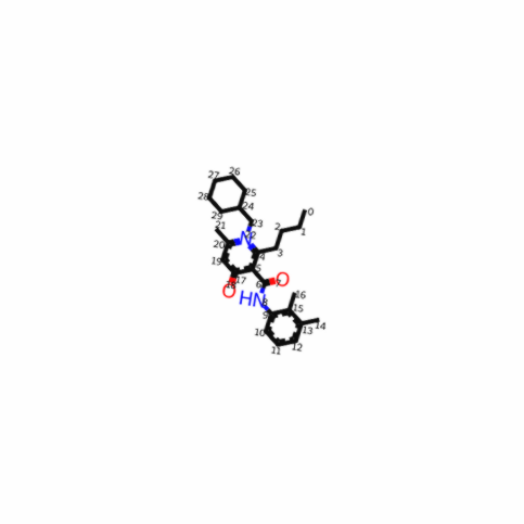 CCCCc1c(C(=O)Nc2cccc(C)c2C)c(=O)cc(C)n1CC1CCCCC1